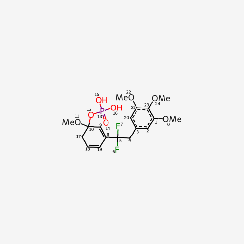 COc1cc(CC(F)(F)C2=CC(OC)(OP(=O)(O)O)CC=C2)cc(OC)c1OC